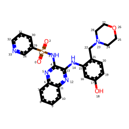 O=S(=O)(Nc1nc2ccccc2nc1Nc1cc(O)ccc1CN1CCOCC1)c1cccnc1